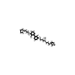 Cc1c(OCCCNCCCn2ccnc2)cccc1-c1cccc(OCCCN2CCCC2)c1C